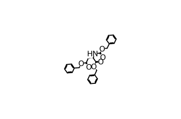 O=C(C[C@H](NC(=O)OCc1ccccc1)C(=O)OCc1ccccc1)OCc1ccccc1